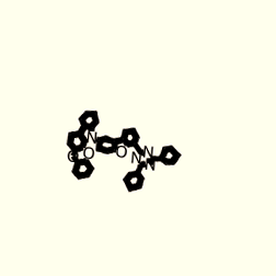 c1ccc(-c2nc(-c3ccccc3)nc(-c3cccc4c3oc3ccc(-n5c6ccccc6c6ccc7c(c65)Oc5ccccc5O7)cc34)n2)cc1